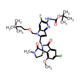 COc1cc(F)cc2c1[C@@]1(CCN(C)C1=O)N(Cc1cc3nc(NC(=O)OC(C)(C)C)c(F)cc3n1COCC[Si](C)(C)C)C2=O